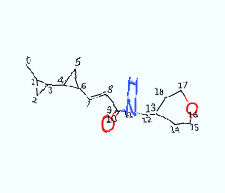 CC1CC1C1CC1/C=C/C(=O)NCC1CCOCC1